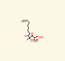 CCCCCCCCCCCCCCCC(I)C(I)(C(=O)O)C(=O)C(O)CO